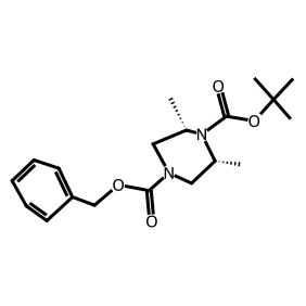 C[C@@H]1CN(C(=O)OCc2ccccc2)C[C@H](C)N1C(=O)OC(C)(C)C